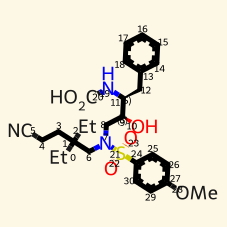 CCC(CC)(CCC#N)CN(C[C@H](O)[C@H](Cc1ccccc1)NC(=O)O)S(=O)(=O)c1ccc(OC)cc1